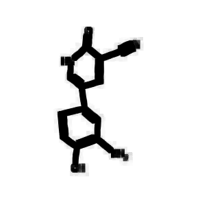 N#Cc1cc(-c2ccc(O)c(N)c2)c[nH]c1=O